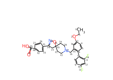 CCOc1ccc(-c2ccc(F)cc2F)c(CN2CCC3(CC2)CC(c2ccc(C(=O)O)cc2)=NO3)c1